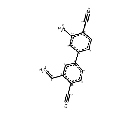 C=Cc1cc(-c2ccc(C#N)c(N)c2)ccc1C#N